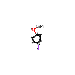 CCCOc1ccc(I)cc1